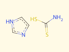 NC(=S)S.c1c[nH]cn1